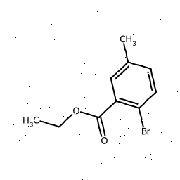 CCOC(=O)c1cc(C)ccc1Br